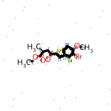 CCOC(=O)[C@@H](C)CC(=O)c1cc2c(F)c(Br)c(OC)cc2s1